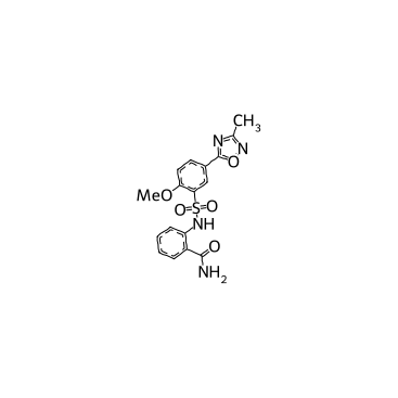 COc1ccc(-c2nc(C)no2)cc1S(=O)(=O)Nc1ccccc1C(N)=O